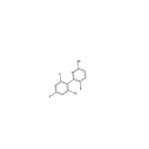 CC(C)c1ccc(F)c(-c2c(F)cc(F)cc2Cl)n1